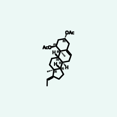 CC=C1CC[C@H]2[C@@H]3CC=C4C[C@@H](OC(C)=O)C[C@H](OC(C)=O)[C@]4(C)[C@H]3CC[C@]12C